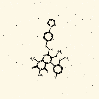 COc1ccc(F)cc1-c1c(CN)c(NCc2ccc(-n3cccn3)cc2)nc2c1c(=O)n(C)c(=O)n2C